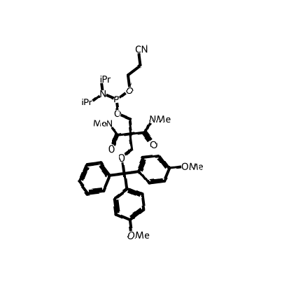 CNC(=O)C(COP(OCCC#N)N(C(C)C)C(C)C)(COC(c1ccccc1)(c1ccc(OC)cc1)c1ccc(OC)cc1)C(=O)NC